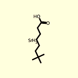 CC(C)(C)CCCCCC(=O)O.[SrH2]